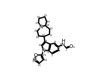 O=CNc1ccc2c(c1)c(C1CCC3CCCCN3CC1)cn2-c1ccno1